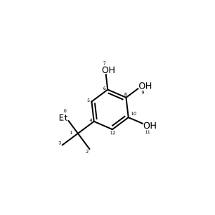 CCC(C)(C)c1cc(O)c(O)c(O)c1